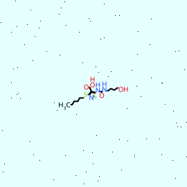 CCCCCCSc1nsc(NC(=O)NCCCCO)c1C(=O)O